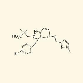 Cn1ccc(COc2ccc3nc(CC(C)(C)C(=O)O)n(Cc4ccc(Br)cc4)c3c2)n1